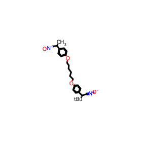 CC(C#[N+][O-])c1ccc(OCCCCCCOc2ccc(C(C#[N+][O-])C(C)(C)C)cc2)cc1